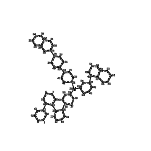 c1ccc(-c2ccccc2-c2ccccc2-c2ccc(N(c3ccc(-c4ccc(-c5ccc6ccccc6c5)cc4)cc3)c3cccc(-c4cccc5ccccc45)c3)cc2)cc1